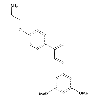 C=CCOc1ccc(C(=O)/C=C/c2cc(OC)cc(OC)c2)cc1